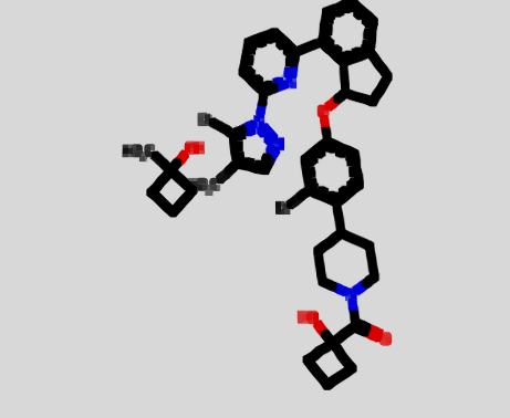 CCc1cc(OC2CCc3cccc(-c4cccc(-n5ncc(C(=O)O)c5CC)n4)c32)ccc1C1CCN(C(=O)C2(O)CCC2)CC1.O=C(O)C1(O)CCC1